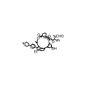 CCn1c(-c2ccc(C3CCN(C)CC3)nc2)c2c3cc(ccc31)-c1cc(O)cc(c1)C[C@H](NC(=O)C(C(C)C)N(C)C=O)C(=O)N1CCC[C@H](N1)C(=O)OCC(C)(C)C2